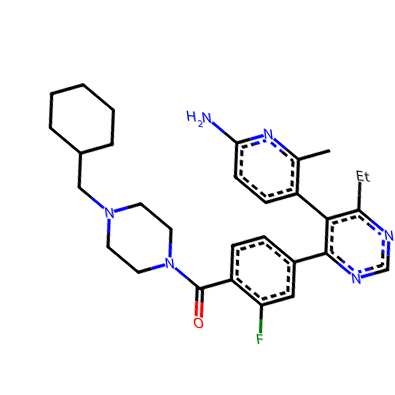 CCc1ncnc(-c2ccc(C(=O)N3CCN(CC4CCCCC4)CC3)c(F)c2)c1-c1ccc(N)nc1C